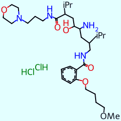 COCCCCOc1ccccc1C(=O)NCC(CC(N)C(O)CC(C(=O)NCCCN1CCOCC1)C(C)C)C(C)C.Cl.Cl